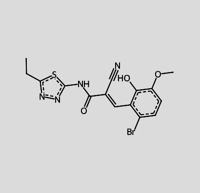 CCc1nnc(NC(=O)/C(C#N)=C/c2c(Br)ccc(OC)c2O)s1